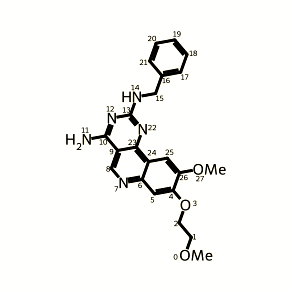 COCCOc1cc2ncc3c(N)nc(NCc4ccccc4)nc3c2cc1OC